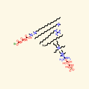 CCCCCCCCCCCCCCCCC[N+](C)(C)C.CCCCCCCCCCCCCCCC[N+](C)(C)C.CCCCCCCCCCCCN(C)C(=NC)N(C)C.CCCCCCCCCCC[CH2][Na].CCCC[N+](CCCC)(CCCC)CCCC.CC[N+](CC)(CC)CC.C[N+](C)(C)C.N=C(N)N.O=C(O)O.O=C(O)O.O=C(O)O.O=C(O)O.O=C([O-])[O-].O=S(=O)([O-])[O-].[Br-]